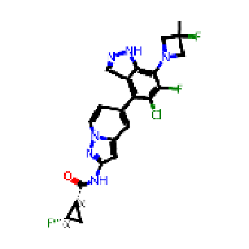 CC1(F)CN(c2c(F)c(Cl)c(-c3ccn4nc(NC(=O)[C@@H]5C[C@@H]5F)cc4c3)c3cn[nH]c23)C1